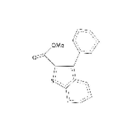 COC(=O)c1sc2ccccc2c1-c1ccccc1